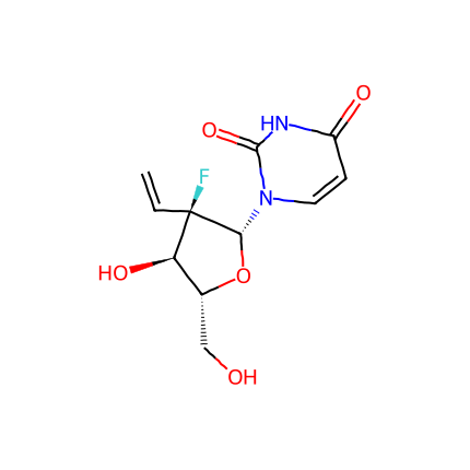 C=C[C@@]1(F)[C@H](O)[C@@H](CO)O[C@H]1n1ccc(=O)[nH]c1=O